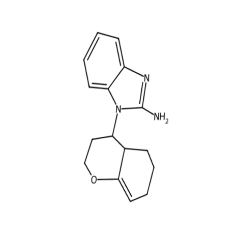 Nc1nc2ccccc2n1C1CCOC2=CCCCC21